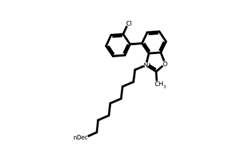 CCCCCCCCCCCCCCCCCC[n+]1c(C)oc2cccc(-c3ccccc3Cl)c21